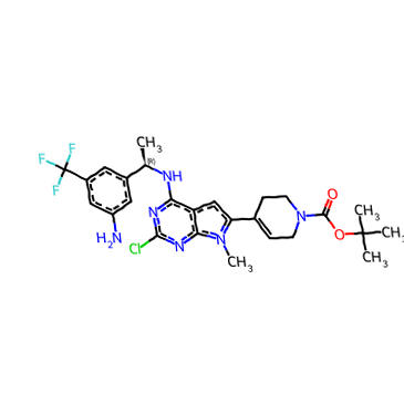 C[C@@H](Nc1nc(Cl)nc2c1cc(C1=CCN(C(=O)OC(C)(C)C)CC1)n2C)c1cc(N)cc(C(F)(F)F)c1